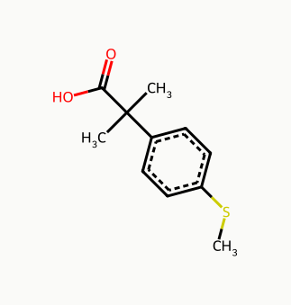 CSc1ccc(C(C)(C)C(=O)O)cc1